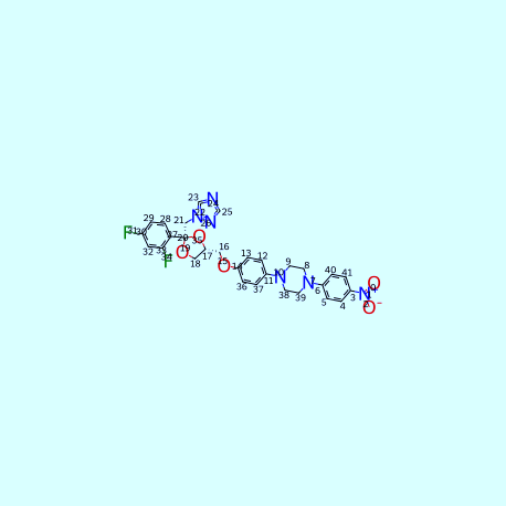 O=[N+]([O-])c1ccc(N2CCN(c3ccc(OC[C@@H]4CO[C@@](Cn5cncn5)(c5ccc(F)cc5F)O4)cc3)CC2)cc1